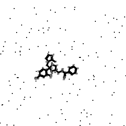 Cc1nccn1C[C@@]1(c2ccc(Cl)cc2Cl)OC[C@@H](COC(=O)c2ccccc2)O1